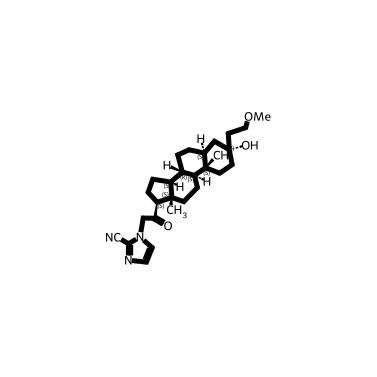 COCC[C@@]1(O)CC[C@@]2(C)[C@@H](CC[C@@H]3[C@@H]2CC[C@]2(C)[C@@H](C(=O)Cn4ccnc4C#N)CC[C@@H]32)C1